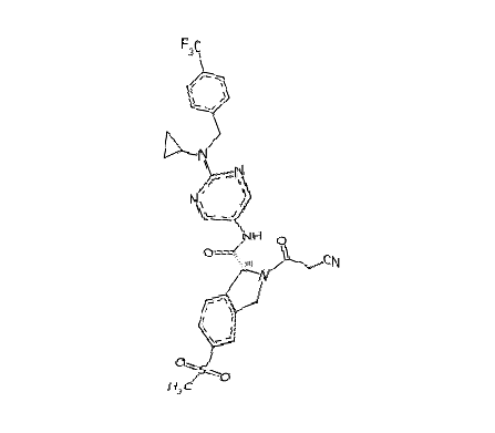 CS(=O)(=O)c1ccc2c(c1)CN(C(=O)CC#N)[C@H]2C(=O)Nc1cnc(N(Cc2ccc(C(F)(F)F)cc2)C2CC2)nc1